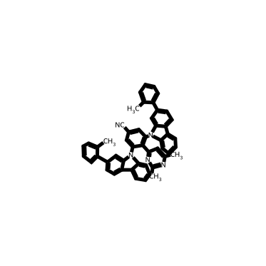 Cc1cc(-c2c(-n3c4ccccc4c4ccc(-c5ccccc5C)cc43)cc(C#N)cc2-n2c3ccccc3c3ccc(-c4ccccc4C)cc32)nc(C)n1